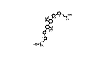 CCCCC(CC)CCc1ccc(-c2ccc(-c3ccc(-c4ccc(-c5ccc(-c6ccc(CCC(CC)CCCC)s6)s5)c5nsnc45)c4nsnc34)s2)s1